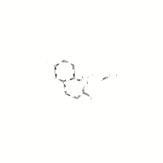 Cc1ccc2c(c1)c(C)cc(=O)n2CC=O